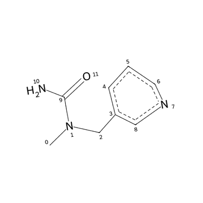 CN(Cc1cccnc1)C(N)=O